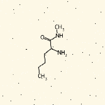 CCCCC(N)C(=O)NC